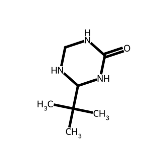 CC(C)(C)C1NCNC(=O)N1